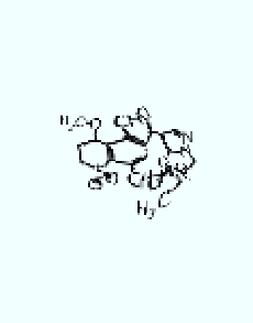 CCn1ncc(C(=O)c2cc(C)c3c(c2C)C(OC)CCS3(=O)=O)c1OS(=O)(=O)CC